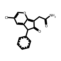 NC(=O)CC1=C2OC=C(Cl)C=C2C(c2ccccc2)C1=O